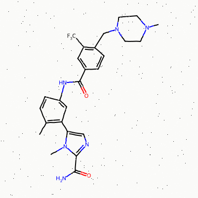 Cc1ccc(NC(=O)c2ccc(CN3CCN(C)CC3)c(C(F)(F)F)c2)cc1-c1cnc(C(N)=O)n1C